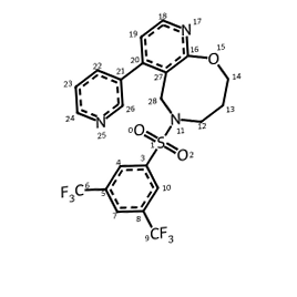 O=S(=O)(c1cc(C(F)(F)F)cc(C(F)(F)F)c1)N1CCCOc2nccc(-c3cccnc3)c2C1